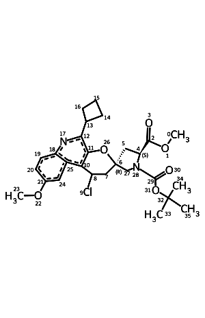 COC(=O)[C@@H]1C[C@@]2(CC(Cl)c3c(c(C4CCC4)nc4ccc(OC)cc34)O2)CN1C(=O)OC(C)(C)C